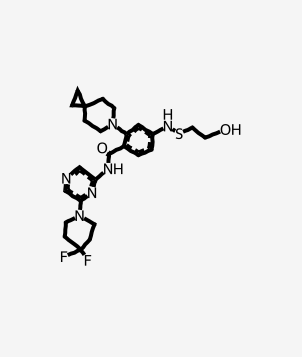 O=C(Nc1cncc(N2CCC(F)(F)CC2)n1)c1ccc(NSCCO)cc1N1CCC2(CC1)CC2